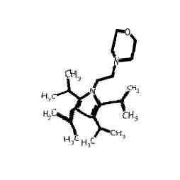 CC(C)c1c(C(C)C)c(C(C)C)n(CCN2CCOCC2)c1C(C)C